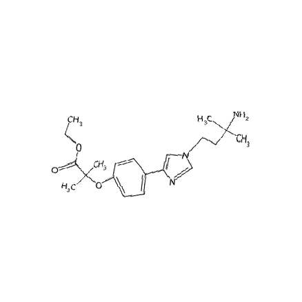 CCOC(=O)C(C)(C)Oc1ccc(-c2cn(CCC(C)(C)N)cn2)cc1